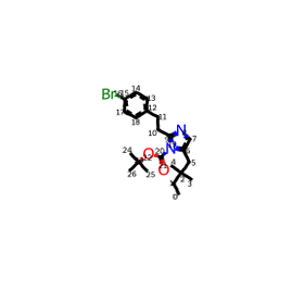 CCC(C)(C)Cc1cnc(CCc2ccc(Br)cc2)n1C(=O)OC(C)(C)C